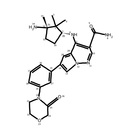 CC1(C)[C@H](Nc2c(C(N)=O)cnn3cc(-c4cccc(N5CCOCC5=O)c4)cc23)CC[C@]1(C)N